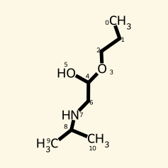 CCCOC(O)CNC(C)C